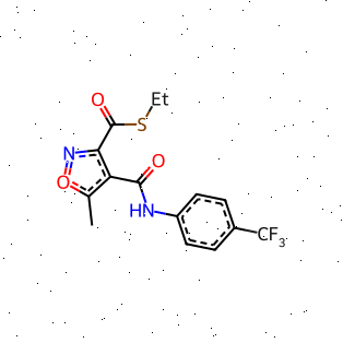 CCSC(=O)c1noc(C)c1C(=O)Nc1ccc(C(F)(F)F)cc1